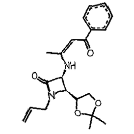 C=CCN1C(=O)[C@@H](NC(C)=CC(=O)c2ccccc2)[C@H]1C1COC(C)(C)O1